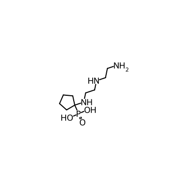 NCCNCCNC1(P(=O)(O)O)CCCC1